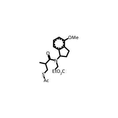 CCOC(=O)CN(C(=O)C(C)CSC(C)=O)C1CCc2c(OC)cccc21